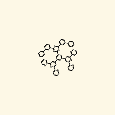 c1ccc(-c2cccc(-c3nc(-c4cccc(-c5ccccc5)c4)nc(-c4cc(-c5cc(-c6ccccn6)nc(-c6ccccn6)c5)cc(-c5cc(-c6ccccn6)nc(-c6ccccn6)c5)c4)n3)c2)cc1